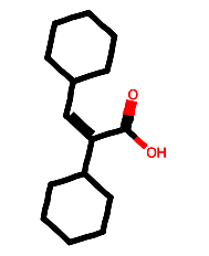 O=C(O)/C(=C\C1CCCCC1)C1CCCCC1